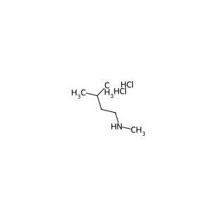 CNCCC(C)C.Cl.Cl